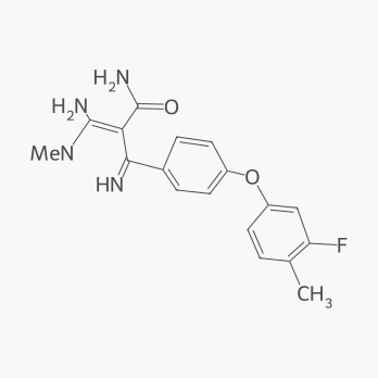 CN/C(N)=C(\C(=N)c1ccc(Oc2ccc(C)c(F)c2)cc1)C(N)=O